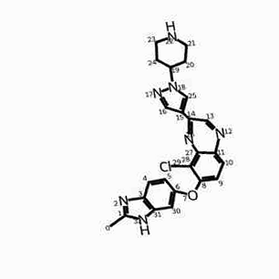 Cc1nc2ccc(Oc3ccc4ncc(-c5cnn(C6CCNCC6)c5)nc4c3Cl)cc2[nH]1